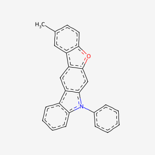 Cc1ccc2oc3cc4c(cc3c2c1)c1ccccc1n4-c1ccccc1